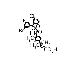 Cc1c(NC(=O)COc2ccc(Cl)cc2C(=O)c2cc(F)cc(Br)c2)ccc(C(C)(C)OCC(=O)O)c1F